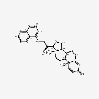 CC12C=CC(=O)C=C1CCC1C2CCC2(C)C(C(=O)CSc3nncc4ccccc34)CCC12